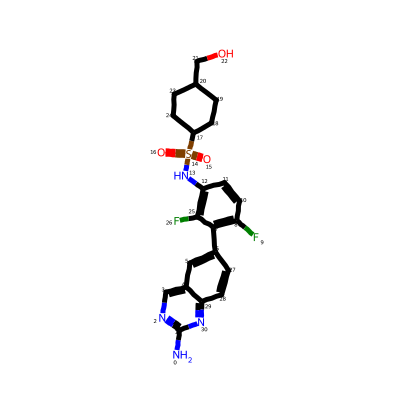 Nc1ncc2cc(-c3c(F)ccc(NS(=O)(=O)C4CCC(CO)CC4)c3F)ccc2n1